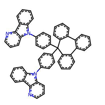 c1ccc2c(c1)-c1ccccc1C(c1ccc(-n3c4ccccc4c4ncccc43)cc1)(c1ccc(-n3c4ccccc4c4ncccc43)cc1)c1ccccc1-2